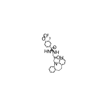 N=[S@](=O)(NC[C@@H](O)CN1c2ccccc2CCc2ccccc21)c1ccc(OC(F)(F)F)cc1